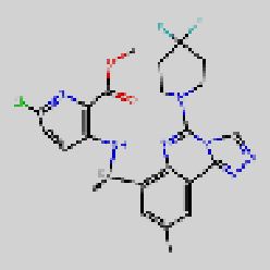 COC(=O)c1nc(Cl)ccc1N[C@H](C)c1cc(C)cc2c1nc(N1CCC(F)(F)CC1)n1cnnc21